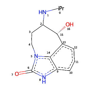 CC(C)NC1CCn2c(=O)[nH]c3cccc(c32)[C@H]1O